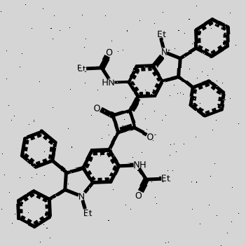 CCC(=O)Nc1cc2c(cc1C1=C([O-])/C(=c3\cc4c(cc3NC(=O)CC)=[N+](CC)C(c3ccccc3)C4c3ccccc3)C1=O)C(c1ccccc1)C(c1ccccc1)N2CC